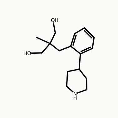 CC(CO)(CO)Cc1ccccc1C1CCNCC1